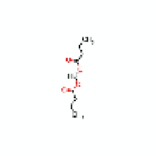 CCCC(=O)OBOC(=O)CCC